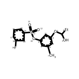 CCC(O)Oc1cc(C)cc(OS(=O)(=O)c2cccc(F)c2)c1